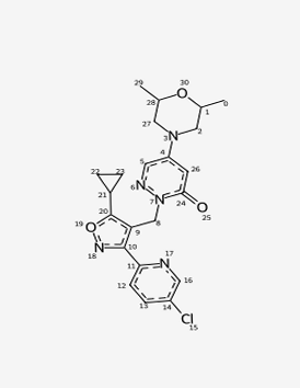 CC1CN(c2cnn(Cc3c(-c4ccc(Cl)cn4)noc3C3CC3)c(=O)c2)CC(C)O1